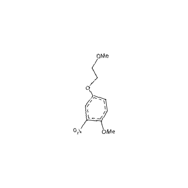 COCCOc1ccc(OC)c([N+](=O)[O-])c1